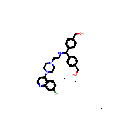 OCc1ccc(C(NCCN2CCN(c3ccnc4cc(Cl)ccc34)CC2)c2ccc(CO)cc2)cc1